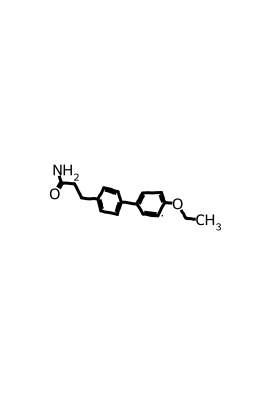 CCOc1[c]cc(-c2ccc(CCC(N)=O)cc2)cc1